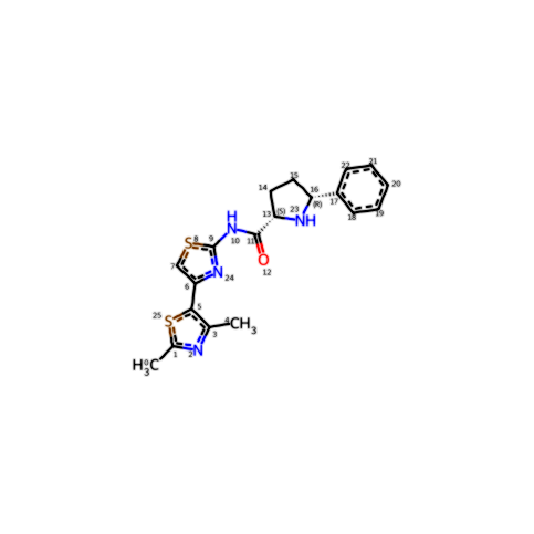 Cc1nc(C)c(-c2csc(NC(=O)[C@@H]3CC[C@H](c4ccccc4)N3)n2)s1